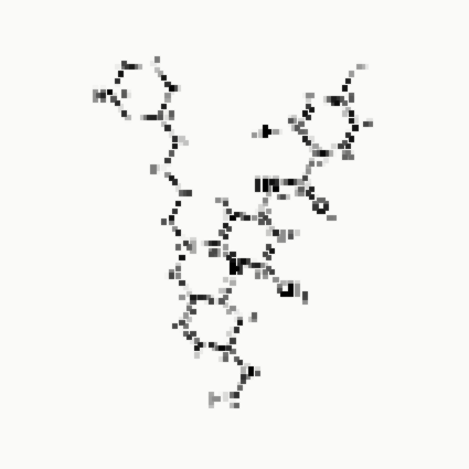 COc1ccc(CN(CCCCC2CCCNC2)c2nc(C)nc(NC(=O)c3ccc(I)cc3F)n2)cc1